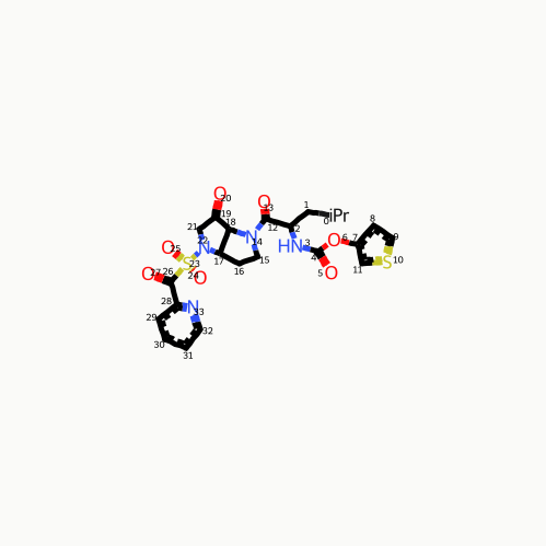 CC(C)CC(NC(=O)Oc1ccsc1)C(=O)N1CCC2C1C(=O)CN2S(=O)(=O)C(=O)c1ccccn1